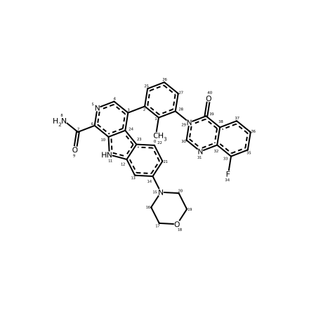 Cc1c(-c2cnc(C(N)=O)c3[nH]c4cc(N5CCOCC5)ccc4c23)cccc1-n1cnc2c(F)cccc2c1=O